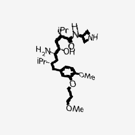 COCCCOc1cc(C[C@@H](C[C@H](N)[C@@H](O)C[C@H](C(=O)NC2CNC2)C(C)C)C(C)C)ccc1OC